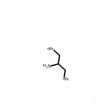 CCCCC([SiH2])CCCC